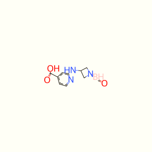 O=CBN1CC(Nc2cc(C(=O)O)ccn2)C1